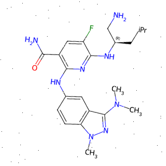 CC(C)C[C@H](CN)Nc1nc(Nc2ccc3c(c2)c(N(C)C)nn3C)c(C(N)=O)cc1F